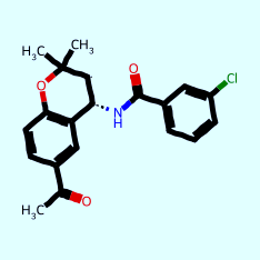 CC(=O)c1ccc2c(c1)[C@@H](NC(=O)c1cccc(Cl)c1)[CH]C(C)(C)O2